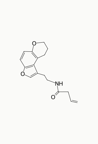 C=CCC(=O)NCCc1coc2ccc3c(c12)CCCO3